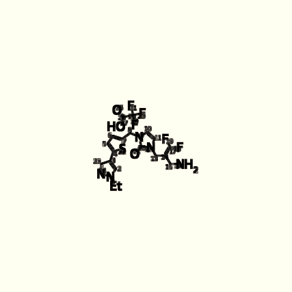 CCn1cc(-c2ccc(Cn3ccn(CC(CN)=C(F)F)c3=O)s2)cn1.O=C(O)C(F)(F)F